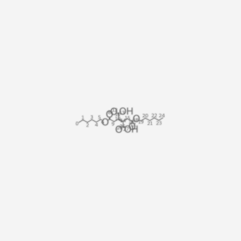 CCCCCCOC(=O)CC(C(=O)O)=C(CC(=O)OCCCCCC)C(=O)O